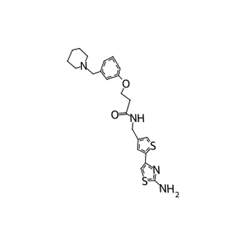 Nc1nc(-c2cc(CNC(=O)CCOc3cccc(CN4CCCCC4)c3)cs2)cs1